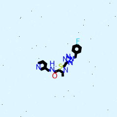 CC1N=C(c2nnn(Cc3ccc(F)cc3)n2)SC1C(=O)NCc1cccnc1